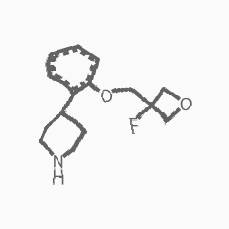 FC1(COc2ccccc2C2CCNCC2)COC1